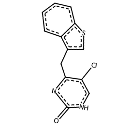 O=c1nc(Cc2csc3ccccc23)c(Cl)c[nH]1